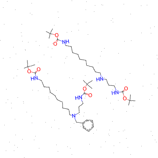 CC(C)(C)OC(=O)NCCCCCCCCCCN(CCCNC(=O)OC(C)(C)C)Cc1ccccc1.CC(C)(C)OC(=O)NCCCCCCCCCCNCCCNC(=O)OC(C)(C)C